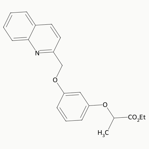 CCOC(=O)C(C)Oc1cccc(OCc2ccc3ccccc3n2)c1